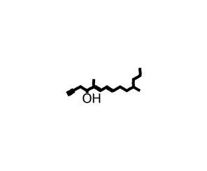 C#CCC(O)/C(C)=C/C=C/CCC(C)CCC